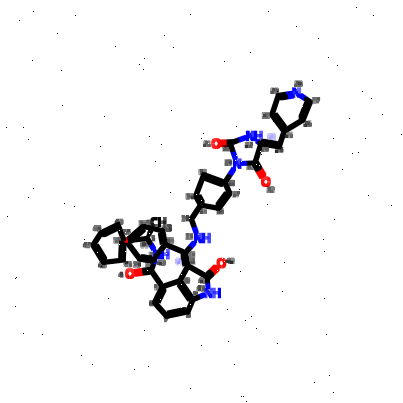 C[C@@H](NC(=O)c1cccc2c1/C(=C(/NCc1ccc(N3C(=O)N/C(=C\c4ccncc4)C3=O)cc1)c1ccccc1)C(=O)N2)c1ccccc1